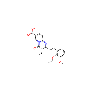 CCOc1c(C=Cc2nc3ccc(C(=O)O)cn3c(=O)c2CC)cccc1OC